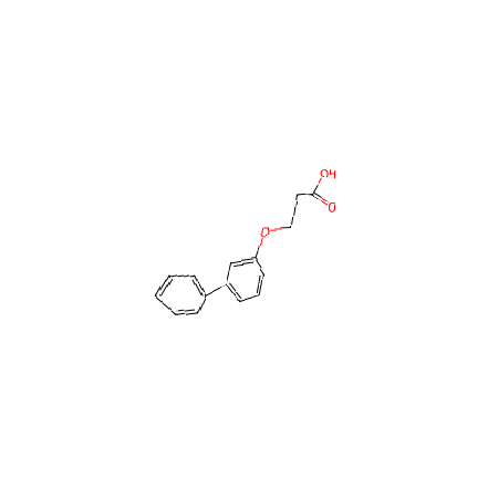 O=C(O)CCOc1cccc(-c2ccccc2)c1